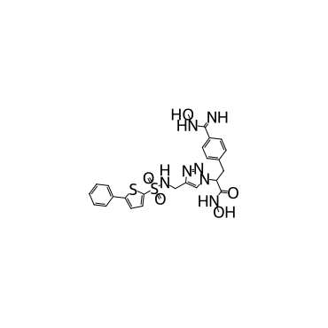 N=C(NO)c1ccc(CC(C(=O)NO)n2cc(CNS(=O)(=O)c3ccc(-c4ccccc4)s3)nn2)cc1